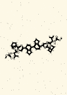 COC(=O)N[C@H](C(=O)N1CC2CCC1(c1nc(-c3ccc(-c4ccc(-c5c[nH]c(C67CCC6CN7C(=O)[C@@H](NC(=O)OC)C(C)C)n5)c5c4CCC5)c4c3CCC4)c[nH]1)C2)C(C)C